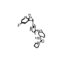 O=C(NC1CCCC(Nc2nc(-c3c[nH]c4ncc(F)cc34)ncc2F)C1)N1CCCC1